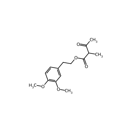 COc1ccc(CCOC(=O)C(C)C(C)=O)cc1OC